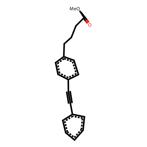 COC(=O)CCCc1ccc(C#Cc2ccccc2)cc1